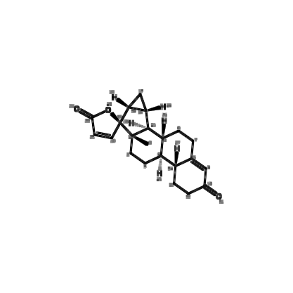 C[C@]12CC[C@H]3[C@@H](CCC4=CC(=O)CC[C@@H]43)[C@@H]1[C@H]1C[C@H]1[C@@]21C=CC(=O)O1